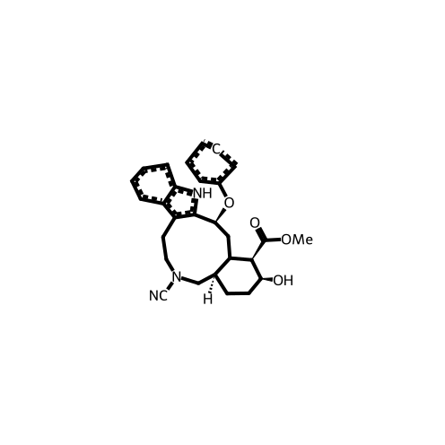 COC(=O)[C@@H]1C2C[C@H](Oc3ccccc3)c3[nH]c4ccccc4c3CCN(C#N)C[C@@H]2CC[C@@H]1O